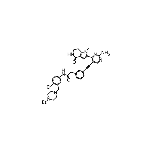 CCN1CCN(Cc2cc(NC(=O)Cc3cccc(C#Cc4cnc(N)nc4-c4cc5c(n4C)CCNC5=O)c3)ccc2Cl)CC1